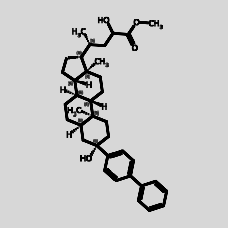 COC(=O)C(O)C[C@@H](C)[C@H]1CC[C@H]2[C@@H]3CC[C@@H]4C[C@](O)(c5ccc(-c6ccccc6)cc5)CC[C@]4(C)[C@H]3CC[C@]12C